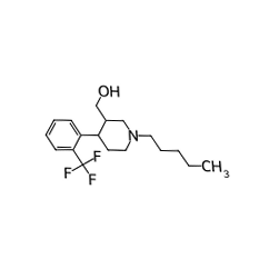 CCCCCN1CCC(c2ccccc2C(F)(F)F)C(CO)C1